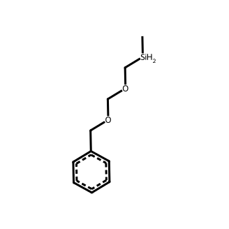 C[SiH2]COCOCc1ccccc1